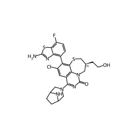 Nc1nc2c(-c3c(Cl)cc4c(N5CC6CCC(C5)N6)nc(=O)n5c4c3SC[C@@H](CCO)C5)ccc(F)c2s1